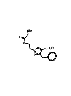 CCOC(=O)c1cn(CCNC(=O)OC(C)(C)C)nc1Cc1ccccc1